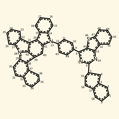 c1ccc2cc(-c3nc(-c4ccc(-n5c6ccccc6c6c7c8ccccc8n8c9ccc%10ccccc%10c9c(cc65)c78)cc4)c4sc5ccccc5c4n3)ccc2c1